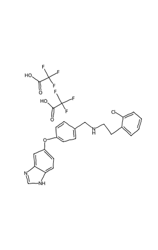 Clc1ccccc1CCNCc1ccc(Oc2ccc3[nH]cnc3c2)cc1.O=C(O)C(F)(F)F.O=C(O)C(F)(F)F